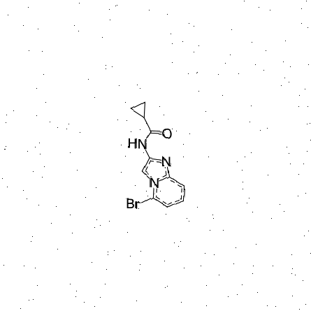 O=C(Nc1cn2c(Br)cccc2n1)C1CC1